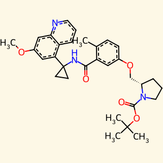 COc1cc(C2(NC(=O)c3cc(OC[C@@H]4CCCN4C(=O)OC(C)(C)C)ccc3C)CC2)c2cccnc2c1